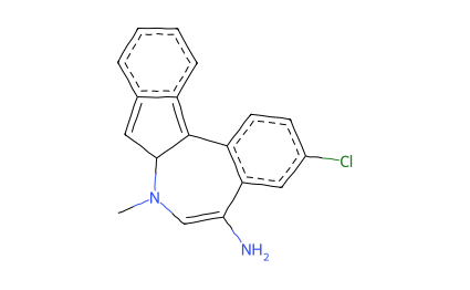 CN1C=C(N)c2cc(Cl)ccc2C2=c3ccccc3=CC21